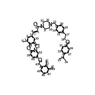 Cc1cc(/C=C/C(=O)N2CCN(Cc3ccc(CCOc4ccc(C(C)C)cc4)cc3)CC2)cc(Cl)c1Oc1ccc(OCc2cccc(F)c2F)cn1